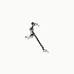 CCCCCCCCCCCCCCCCCCOCC(COP(=O)([O-])OCCC[N+]1(C)CCCC1)OC(=O)CC(C)=O